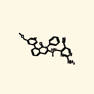 COCc1cncc(-c2cccc3cc([C@H](C)Nc4nc(N)ncc4C#N)n(-c4ccccc4)c(=O)c23)c1